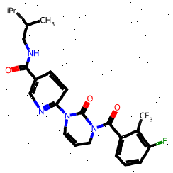 CC(C)C(C)CNC(=O)c1ccc(N2C=CCN(C(=O)c3cccc(F)c3C(F)(F)F)C2=O)nc1